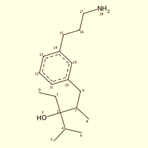 CCC(O)(C(C)C)C(C)Cc1cccc(CCCN)c1